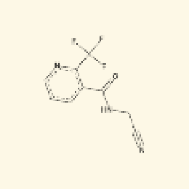 N#CCNC(=O)c1cccnc1C(F)(F)F